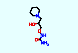 NC(=O)NOCC(O)CN1CCCCC1